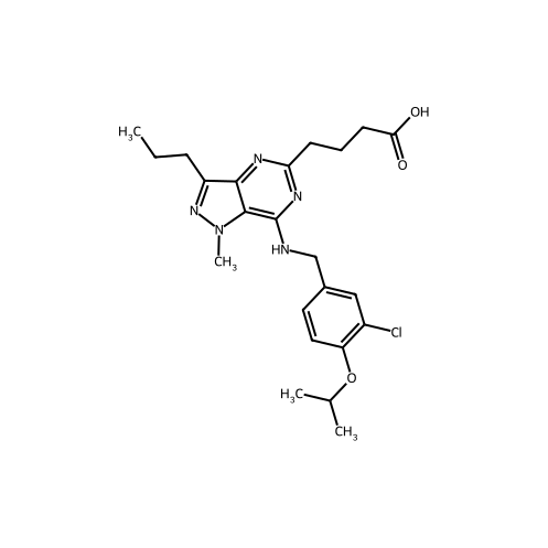 CCCc1nn(C)c2c(NCc3ccc(OC(C)C)c(Cl)c3)nc(CCCC(=O)O)nc12